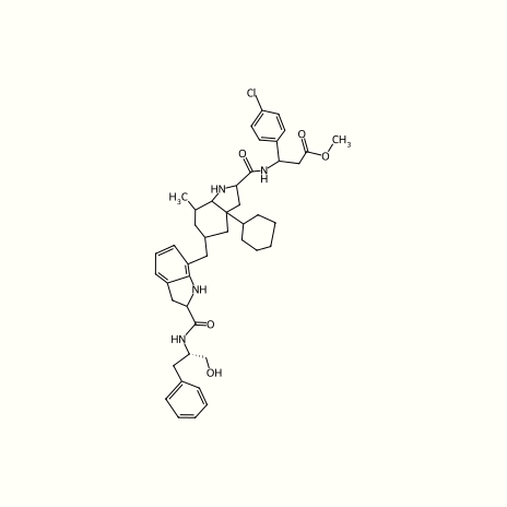 COC(=O)CC(NC(=O)C1CC2(C3CCCCC3)CC(Cc3cccc4c3NC(C(=O)N[C@H](CO)Cc3ccccc3)C4)CC(C)C2N1)c1ccc(Cl)cc1